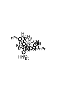 CCCC1CC(=O)C2=C(C1)NC(C)=C(C#N)C2c1ccc(OC(Br)c2ccc(C(=N)OCC)cc2C(Br)Oc2ccc(C3C(C#N)=C(C)NC4=C3C(=O)CC(CCC)C4)cc2OCC)c(OCC)c1